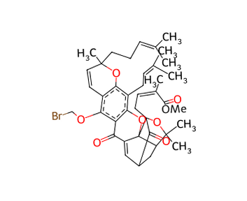 COC(=O)/C(C)=C\CC12OC(C)(C)C3CC(C=C4C(=O)c5c(OCBr)c6c(c(CC=C(C)C)c5OC431)OC(C)(CCC=C(C)C)C=C6)C2=O